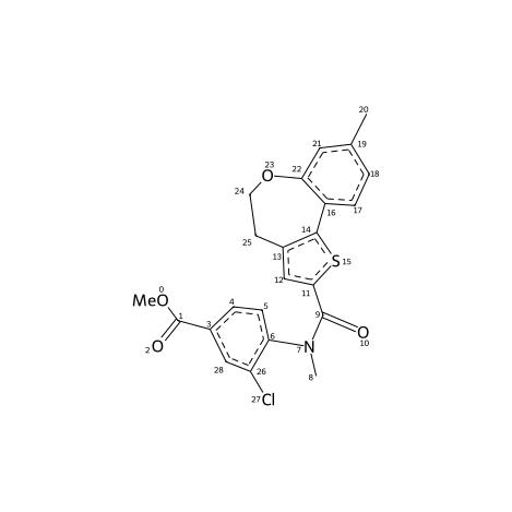 COC(=O)c1ccc(N(C)C(=O)c2cc3c(s2)-c2ccc(C)cc2OCC3)c(Cl)c1